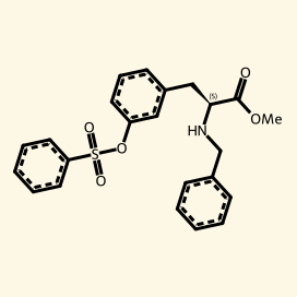 COC(=O)[C@H](Cc1cccc(OS(=O)(=O)c2ccccc2)c1)NCc1ccccc1